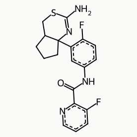 NC1=NC2(c3cc(NC(=O)c4ncccc4F)ccc3F)CCCC2CS1